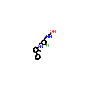 Cc1c(-c2ccccc2)cccc1-n1cc2cc(CNCCO)cc(Cl)c2n1